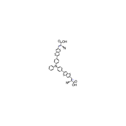 N#C/C(=C\c1cc2sc(-c3ccc(N(c4ccccc4)c4ccc(-c5cc6sc(/C=C(\C#N)C(=O)O)cc6s5)cc4)cc3)cc2s1)C(=O)O